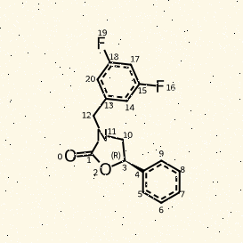 O=C1O[C@H](c2ccccc2)CN1Cc1cc(F)cc(F)c1